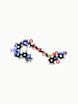 Cc1nc2c(F)cc(-c3nc(Nc4ccc(CN5CCN(C(=O)CCOCCOCCOCCSc6cccc7c6C(=O)N(C6CCC(=O)NC6=O)C7=O)CC5)cn4)ncc3F)cc2n1C(C)C